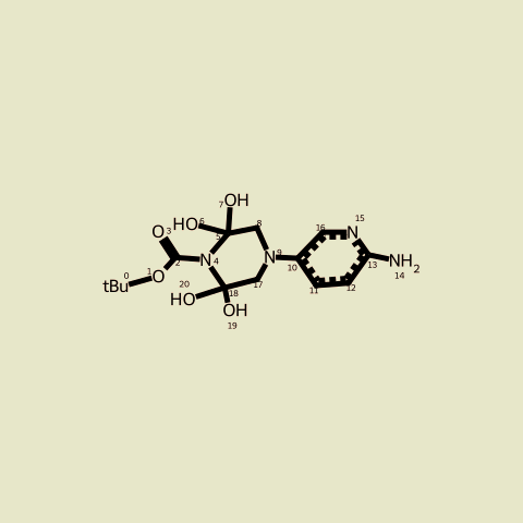 CC(C)(C)OC(=O)N1C(O)(O)CN(c2ccc(N)nc2)CC1(O)O